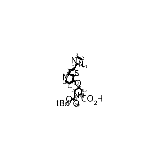 Cn1ccnc1-c1cc2nccc(O[C@@H]3C[C@@H](C(=O)O)N(C(=O)OC(C)(C)C)C3)c2s1